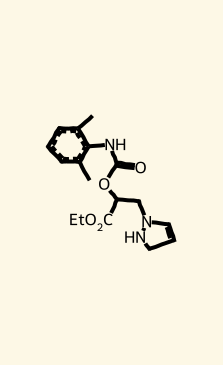 CCOC(=O)C(CN1C=CCN1)OC(=O)Nc1c(C)cccc1C